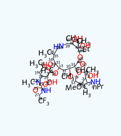 CCCNC[C@]1(O)[C@H](C)O[C@@H](O[C@H]2[C@H](C)[C@@H](O[C@@H]3O[C@H](C)C[C@H](N(C)S(=O)(=O)NCC(F)(F)F)[C@H]3O)[C@](C)(O)C[C@@H](C)CN[C@H](C)[C@@H](O)[C@](C)(O)[C@@H](CC)OC(=O)[C@@H]2C)C[C@@]1(C)OC